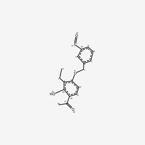 CCc1c(OCc2c[c]cc([S+]=O)c2)ccc(C(C)=O)c1O